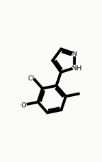 Cc1ccc([O])c(Cl)c1-c1ccn[nH]1